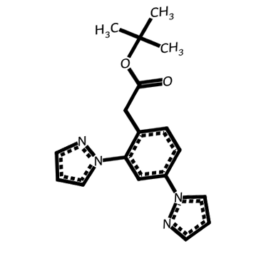 CC(C)(C)OC(=O)Cc1ccc(-n2cccn2)cc1-n1cccn1